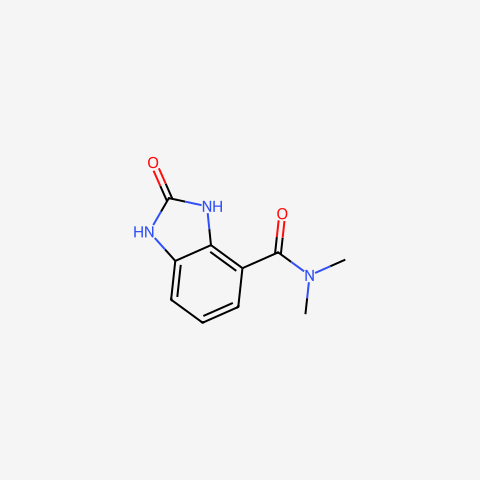 CN(C)C(=O)c1cccc2[nH]c(=O)[nH]c12